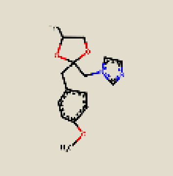 COc1ccc(CC2(Cn3ccnc3)OCC(C)O2)cc1